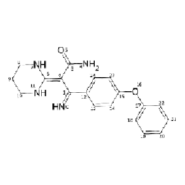 N=C(C(C(N)=O)=C1NCCCN1)c1ccc(Oc2ccccc2)cc1